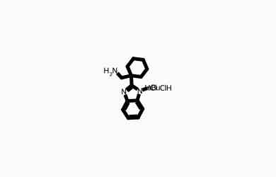 CCCCn1c(C2(CN)CCCCC2)nc2ccccc21.Cl.Cl